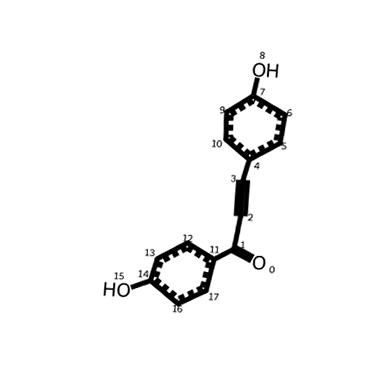 O=C(C#Cc1ccc(O)cc1)c1ccc(O)cc1